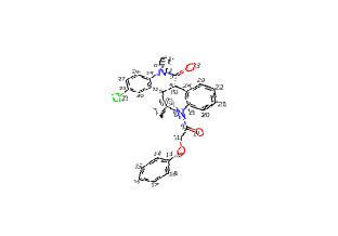 CCN(C(=O)[C@H]1C[C@H](C)N(C(=O)COc2ccccc2)c2ccccc21)c1ccc(Cl)cc1